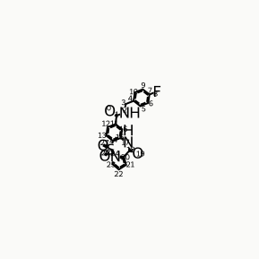 O=C(NCc1ccc(F)cc1)c1ccc2c(c1)NC(=O)c1cccn1S2(=O)=O